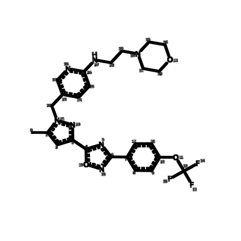 Cc1cc(-c2nc(-c3ccc(OC(F)(F)F)cc3)no2)nn1Cc1ccc(NCCN2CCOCC2)nc1